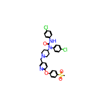 CS(=O)(=O)c1ccc(Oc2ccc(CN3CCC(N(C(=O)Nc4ccc(Cl)cc4)c4ccc(Cl)cc4)CC3)cn2)cc1